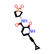 O=C(N[C@@H]1C=CS(=O)(=O)C1)c1ccc(C#CC2CC2)[nH]c1=O